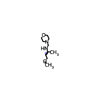 COC/C=C(\C)NCN1CCOCC1